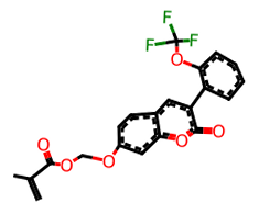 C=C(C)C(=O)OCOc1ccc2cc(-c3ccccc3OC(F)(F)F)c(=O)oc2c1